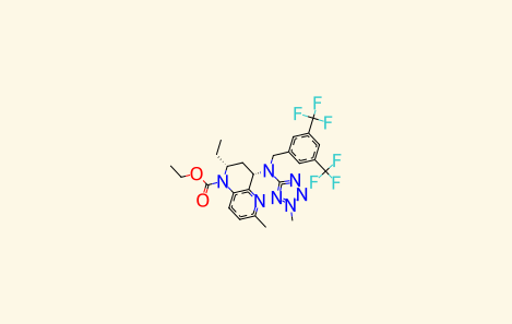 CCOC(=O)N1c2ccc(C)nc2[C@@H](N(Cc2cc(C(F)(F)F)cc(C(F)(F)F)c2)c2nnn(C)n2)C[C@H]1CC